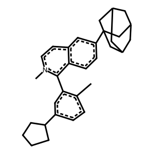 Cc1ccc(C2CCCC2)cc1-c1c2ccc(C34CC5CC(CC(C5)C3)C4)cc2cc[n+]1C